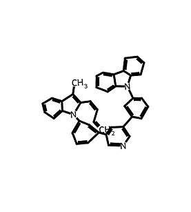 C=C/C=C\c1c(C)c2ccccc2n1-c1cccc(-c2cncc(-c3cccc(-n4c5ccccc5c5ccccc54)c3)c2)c1